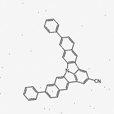 N#Cc1cc2c3cc4ccc(-c5ccccc5)cc4cc3n3c4cc5cc(-c6ccccc6)ccc5cc4c(c1)c23